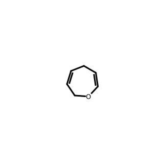 C1=CCOC=CC1